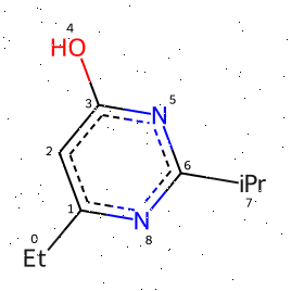 CCc1cc(O)nc(C(C)C)n1